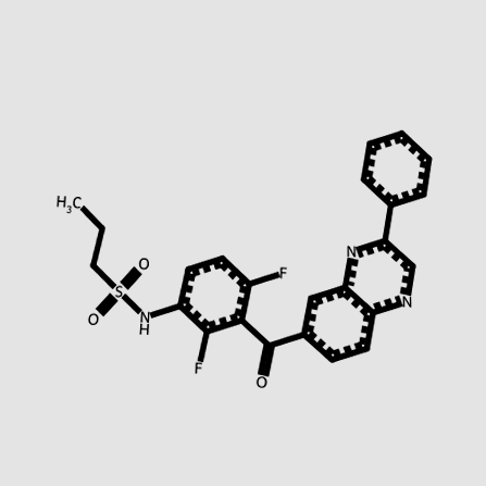 CCCS(=O)(=O)Nc1ccc(F)c(C(=O)c2ccc3ncc(-c4ccccc4)nc3c2)c1F